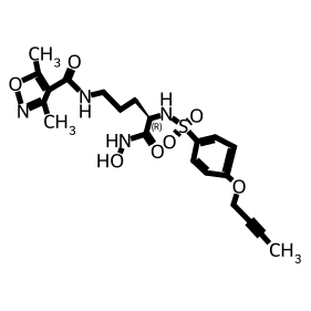 CC#CCOc1ccc(S(=O)(=O)N[C@H](CCCNC(=O)c2c(C)noc2C)C(=O)NO)cc1